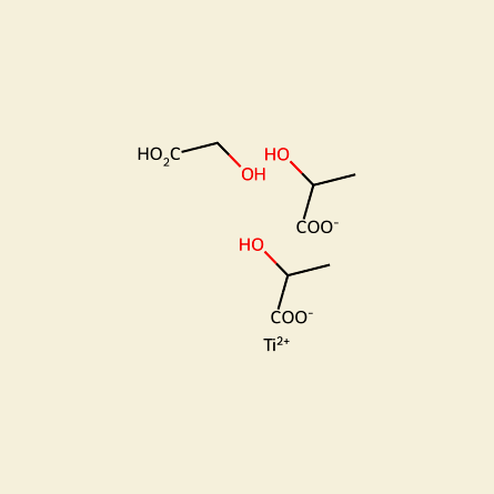 CC(O)C(=O)[O-].CC(O)C(=O)[O-].O=C(O)CO.[Ti+2]